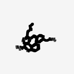 CCOCc1nc2c(N)nc3ccccc3c2n1Cc1ccc(CN)cc1